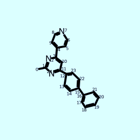 Cc1nc(-c2ccncc2)cc(-c2ccc(-c3ccccc3)cc2)n1